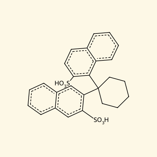 O=S(=O)(O)c1cc2ccccc2cc1C1(c2c(S(=O)(=O)O)ccc3ccccc23)CCCCC1